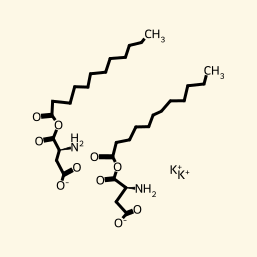 CCCCCCCCCCCC(=O)OC(=O)[C@@H](N)CC(=O)[O-].CCCCCCCCCCCC(=O)OC(=O)[C@@H](N)CC(=O)[O-].[K+].[K+]